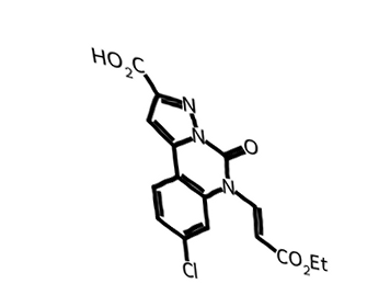 CCOC(=O)C=Cn1c(=O)n2nc(C(=O)O)cc2c2ccc(Cl)cc21